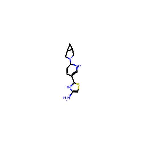 NC1=CSC(C2=CNC(N3CC4CC4C3)C=C2)N1